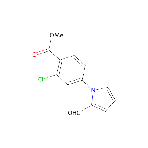 COC(=O)c1ccc(-n2cccc2C=O)cc1Cl